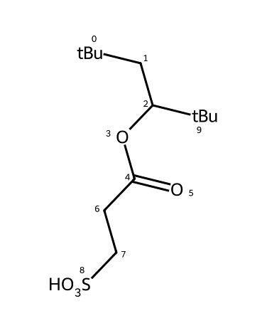 CC(C)(C)CC(OC(=O)CCS(=O)(=O)O)C(C)(C)C